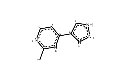 Cc1nccc(-c2c[nH]nn2)n1